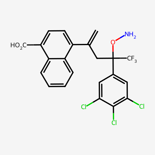 C=C(CC(ON)(c1cc(Cl)c(Cl)c(Cl)c1)C(F)(F)F)c1ccc(C(=O)O)c2ccccc12